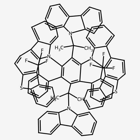 CC(C)(c1c(-c2ccccc2C(F)(F)F)c(-n2c3ccccc3c3ccc4sc5ccccc5c4c32)c(C(C)(C)n2c3ccccc3c3ccccc32)c(-n2c3ccccc3c3ccc4sc5ccccc5c4c32)c1-c1ccccc1C(F)(F)F)n1c2ccccc2c2ccccc21